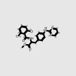 COC(=O)C(Cc1ccc(Nc2ncccn2)cc1)NC(=O)c1c(Cl)cccc1Cl